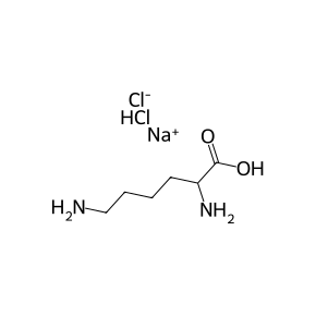 Cl.NCCCCC(N)C(=O)O.[Cl-].[Na+]